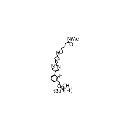 CNC(=O)CCCON=C1CN(c2ncc(-c3cccc(CO[Si](C)(C)C(C)(C)C)c3F)cn2)C1